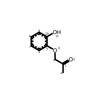 CC(=O)COc1ccccc1O